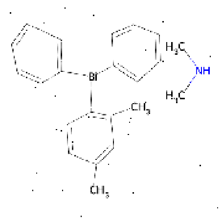 CNC.Cc1cc[c]([Bi]([c]2ccccc2)[c]2ccccc2)c(C)c1